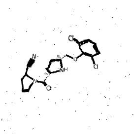 N#CC1CCCN1C(=O)[C@@H]1CC[C@H](COc2c(Cl)cccc2Cl)N1